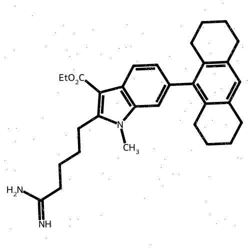 CCOC(=O)c1c(CCCCC(=N)N)n(C)c2cc(-c3c4c(cc5c3CCCC5)CCCC4)ccc12